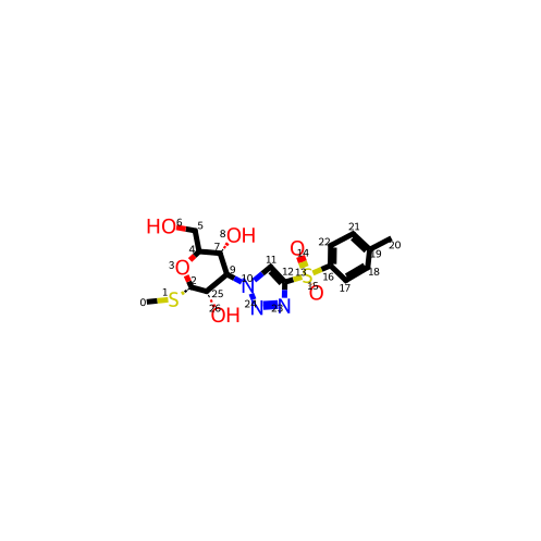 CS[C@@H]1OC(CO)[C@H](O)C(n2cc(S(=O)(=O)c3ccc(C)cc3)nn2)[C@@H]1O